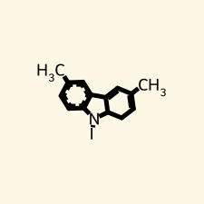 CC1=CCC2C(=C1)c1cc(C)ccc1N2I